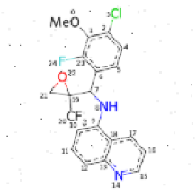 COc1c(Cl)ccc(C(Nc2cccc3ncccc23)C2(C(F)(F)F)CO2)c1F